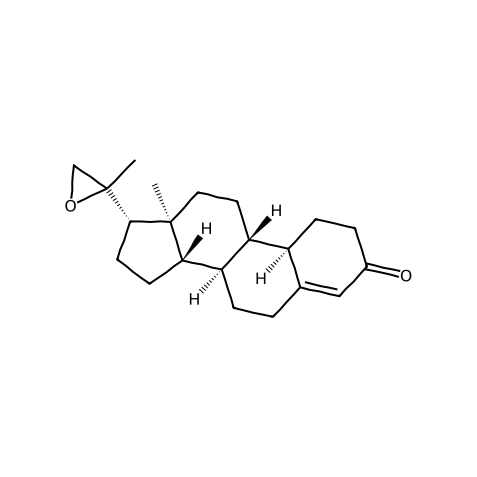 CC1([C@H]2CC[C@H]3[C@@H]4CCC5=CC(=O)CC[C@@H]5[C@H]4CC[C@]23C)CO1